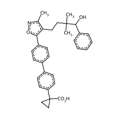 Cc1noc(-c2ccc(-c3ccc(C4(C(=O)O)CC4)cc3)cc2)c1CCC(C)(C)C(O)c1ccccc1